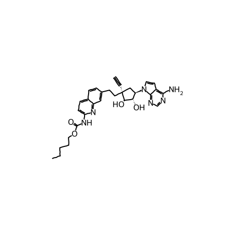 C#C[C@]1(CCc2ccc3ccc(NC(=O)OCCCCC)nc3c2)C[C@@H](n2ccc3c(N)ncnc32)[C@H](O)[C@@H]1O